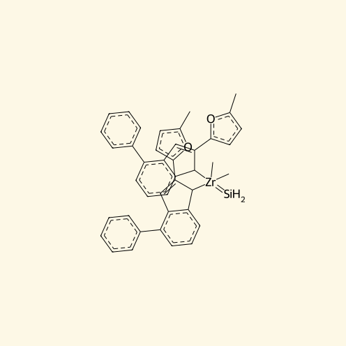 Cc1ccc(C2=Cc3c(-c4ccccc4)cccc3[CH]2[Zr]([CH3])([CH3])(=[SiH2])[CH]2C(c3ccc(C)o3)=Cc3c(-c4ccccc4)cccc32)o1